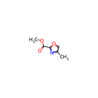 COC(=O)c1nc(C)co1